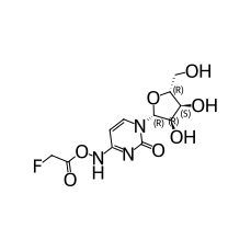 O=C(CF)ONc1ccn([C@@H]2O[C@H](CO)[C@@H](O)[C@H]2O)c(=O)n1